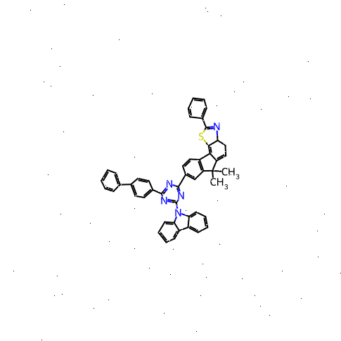 CC1(C)C2=CCC3N=C(c4ccccc4)SC3=C2c2ccc(-c3nc(-c4ccc(-c5ccccc5)cc4)nc(-n4c5ccccc5c5ccccc54)n3)cc21